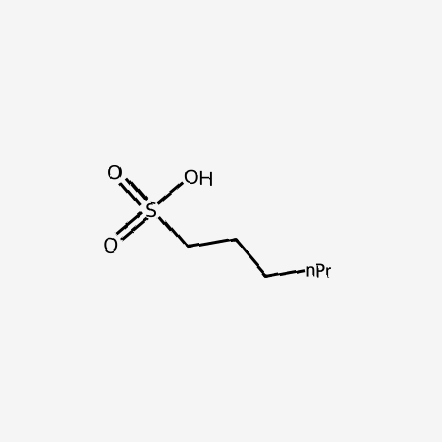 [CH2]CCCCCS(=O)(=O)O